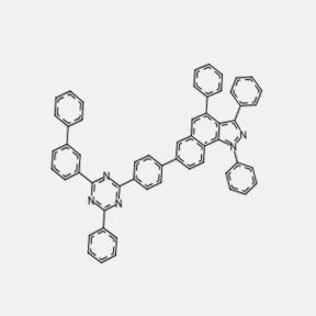 c1ccc(-c2cccc(-c3nc(-c4ccccc4)nc(-c4ccc(-c5ccc6c(c5)cc(-c5ccccc5)c5c(-c7ccccc7)nn(-c7ccccc7)c56)cc4)n3)c2)cc1